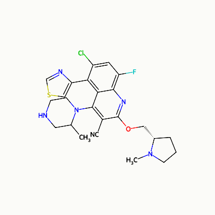 CC1CNCCN1c1c(C#N)c(OC[C@@H]2CCCN2C)nc2c(F)cc(Cl)c(-c3cscn3)c12